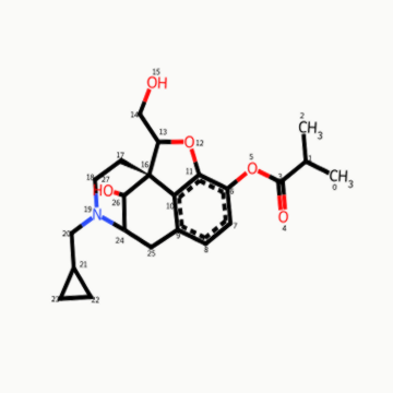 CC(C)C(=O)Oc1ccc2c3c1OC(CO)[C@]31CCN(CC3CC3)C(C2)C1O